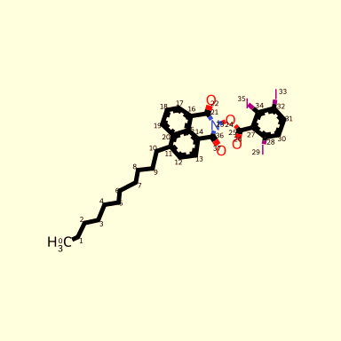 CCCCCCCCCCCc1ccc2c3c(cccc13)C(=O)N(OC(=O)c1c(I)ccc(I)c1I)C2=O